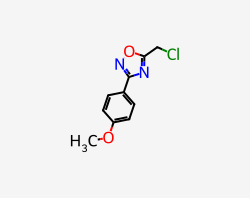 COc1ccc(-c2noc(CCl)n2)cc1